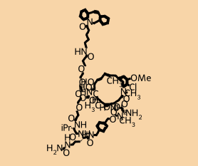 COc1cc2cc(c1Cl)N(C)C(=O)C[C@H](OC(=O)[C@H](N)N(C)C(=O)OCc1ccc(CNC(=O)[C@H](CCCNC(N)=O)NC(=O)[C@@H](NC(=O)CCOCCOCCOCCOCCC(=O)NCCCCCC(=O)N3Cc4ccccc4C#Cc4ccccc43)C(C)C)cc1)[C@]1(N)O[C@H]1[C@H](C)[C@@H]1C[C@@](O)(NC(=O)O1)[C@H](O)/C=C/C=C(\C)C2